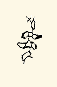 Cc1ccc(-c2c3ccccc3c(-c3c4ccccc4c(-c4ccc(C)c(C(F)(F)F)c4)c4ccccc34)c3ccccc23)cc1C